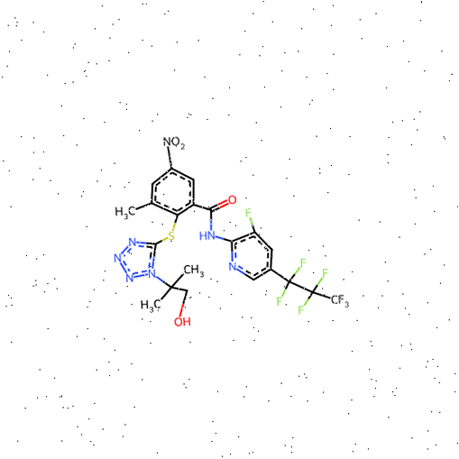 Cc1cc([N+](=O)[O-])cc(C(=O)Nc2ncc(C(F)(F)C(F)(F)C(F)(F)F)cc2F)c1Sc1nnnn1C(C)(C)CO